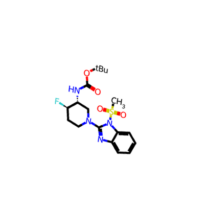 CC(C)(C)OC(=O)N[C@@H]1CN(c2nc3ccccc3n2S(C)(=O)=O)CC[C@H]1F